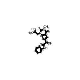 CC(C)Cn1c(=O)n(C)c(=O)c2cc(C(O)c3nc4ccccc4[nH]3)sc21